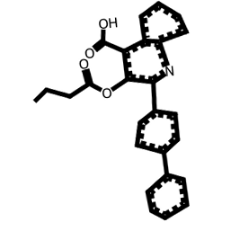 CCCC(=O)Oc1c(-c2ccc(-c3ccccc3)cc2)nc2ccccc2c1C(=O)O